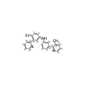 CCc1ccc(Nc2cccc(-c3ncccc3C)c2)cc1-c1ccccn1